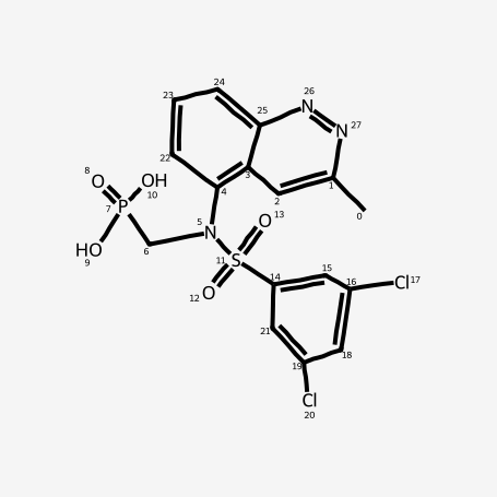 Cc1cc2c(N(CP(=O)(O)O)S(=O)(=O)c3cc(Cl)cc(Cl)c3)cccc2nn1